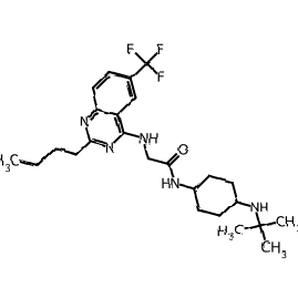 CCCCc1nc(NCC(=O)NC2CCC(NC(C)(C)C)CC2)c2cc(C(F)(F)F)ccc2n1